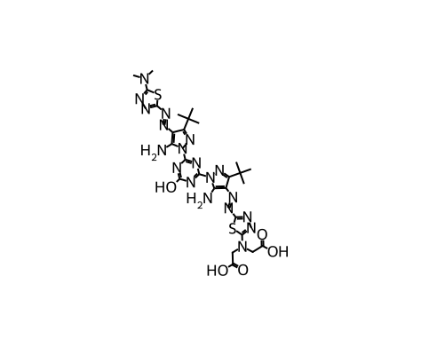 CN(C)c1nnc(N=Nc2c(C(C)(C)C)nn(-c3nc(O)nc(-n4nc(C(C)(C)C)c(N=Nc5nnc(N(CC(=O)O)CC(=O)O)s5)c4N)n3)c2N)s1